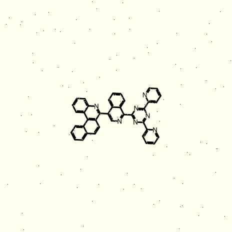 c1ccc(-c2nc(-c3ccccn3)nc(-c3ncc(-c4nc5ccccc5c5c4ccc4ccccc45)c4ccccc34)n2)nc1